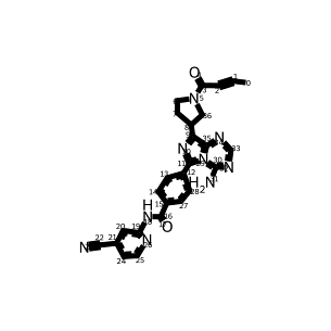 CC#CC(=O)N1CCC(c2nc(-c3ccc(C(=O)Nc4cc(C#N)ccn4)cc3)n3c(N)ncnc23)C1